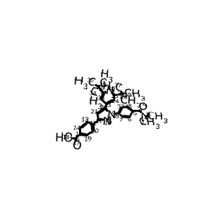 CN(C)C(=O)c1ccc(-n2nc(-c3ccc(C(=O)O)cc3)cc2-c2cc(C(C)(C)C)nc(C(C)(C)C)c2)cc1